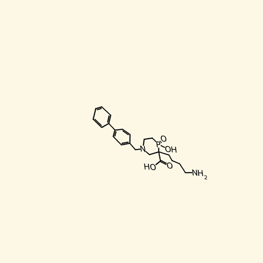 NCCCCC1(C(=O)O)CN(Cc2ccc(-c3ccccc3)cc2)CCP1(=O)O